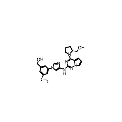 Cc1cc(CO)cc(-n2cnc(Nc3nc(N4CCC[C@H]4CO)c4cccn4n3)c2)c1